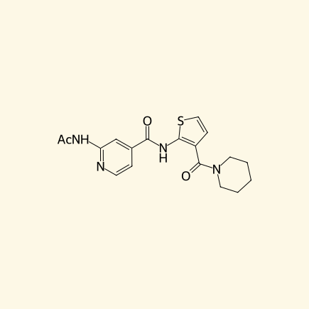 CC(=O)Nc1cc(C(=O)Nc2sccc2C(=O)N2CCCCC2)ccn1